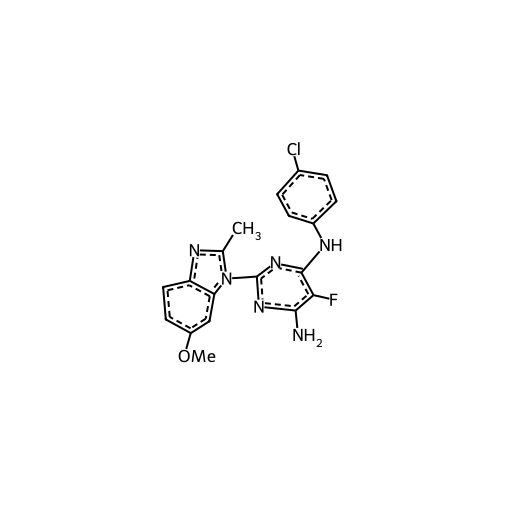 COc1ccc2nc(C)n(-c3nc(N)c(F)c(Nc4ccc(Cl)cc4)n3)c2c1